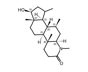 CC1C[C@H](O)[C@@]2(C)CC[C@H]3[C@@H]([C@@H](C)C[C@H]4N(C)C(=O)CC[C@]34C)[C@H]12